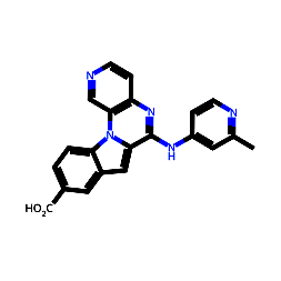 Cc1cc(Nc2nc3ccncc3n3c2cc2cc(C(=O)O)ccc23)ccn1